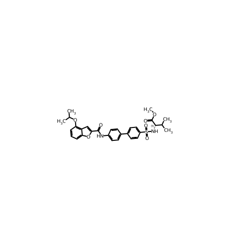 COC(=O)[C@@H](NS(=O)(=O)c1ccc(-c2ccc(NC(=O)c3cc4c(OC(C)C)cccc4o3)cc2)cc1)C(C)C